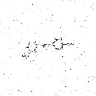 COc1ccc(C#Cc2cccc(OC)c2)cc1